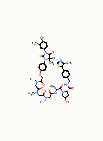 Cc1ncsc1-c1ccc(CNC(=O)[C@@H]2C[C@@H](O)CN2C(=O)[C@@H](NC(=O)CN(C)C(=O)CN(C)C(=O)CN(C)C(=O)COc2ccc(N3C(=S)N(c4ccc(C#N)c(C(F)(F)F)c4)C(=O)C3(C)C)cc2)C(C)(C)C)cc1